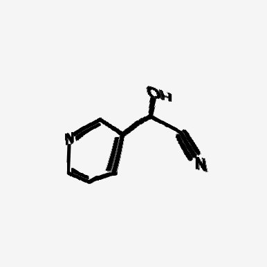 N#CC(O)c1cccnc1